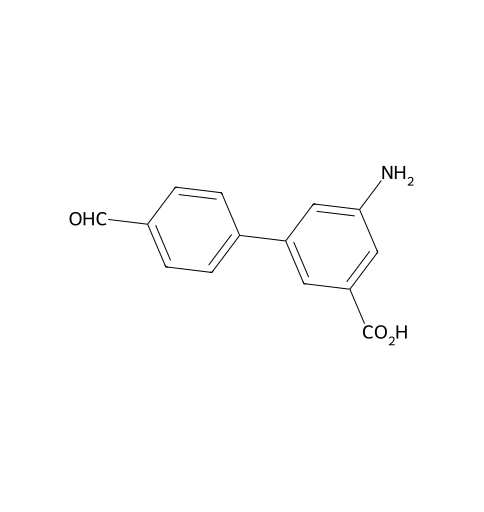 Nc1cc(C(=O)O)cc(-c2ccc(C=O)cc2)c1